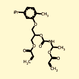 C=CC(=O)OCC(COc1cc(C(C)C)ccc1C)OC(=O)NC(C)OC(=O)C=C